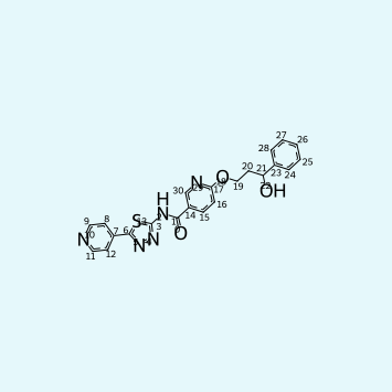 O=C(Nc1nnc(-c2ccncc2)s1)c1ccc(OCCC(O)c2ccccc2)nc1